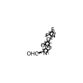 Cc1cnc(C#CC=O)cc1-n1c(C)cc(OCc2ncc(F)cc2F)cc1=O